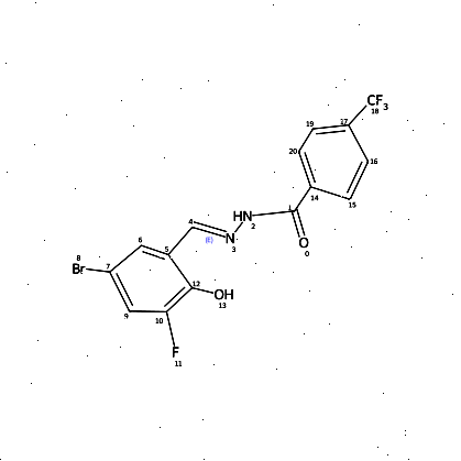 O=C(N/N=C/c1cc(Br)cc(F)c1O)c1ccc(C(F)(F)F)cc1